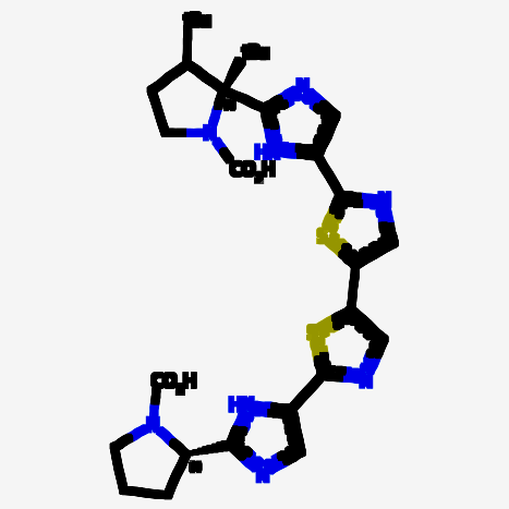 CC(C)(C)C1CCN(C(=O)O)[C@]1(c1ncc(-c2ncc(-c3cnc(-c4cnc([C@@H]5CCCN5C(=O)O)[nH]4)s3)s2)[nH]1)C(C)(C)C